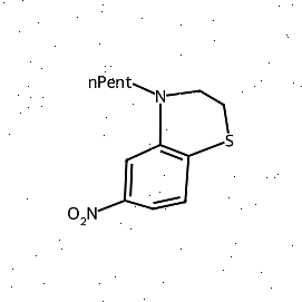 CCCCCN1CCSc2ccc([N+](=O)[O-])cc21